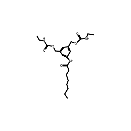 CCCCCCCC(=O)Nc1cc(COC(=O)NCC)cc(COC(=O)NCC)c1